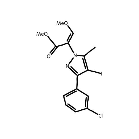 COC=C(C(=O)OC)n1nc(-c2cccc(Cl)c2)c(I)c1C